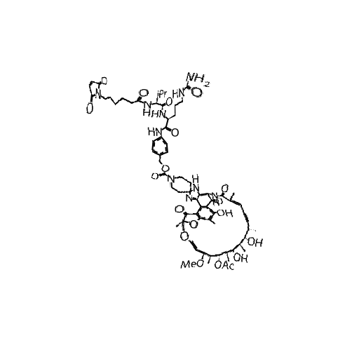 CO[C@H]1/C=C/O[C@@]2(C)Oc3c(C)c(O)c4c(c3C2=O)C2=NC3(CCN(C(=O)OCc5ccc(NC(=O)[C@H](CCCNC(N)=O)NC(=O)[C@@H](NC(=O)CCCCCN6C(=O)C=CC6=O)C(C)C)cc5)CC3)NC2=C(NC(=O)/C(C)=C\C=C\[C@H](C)[C@H](O)[C@@H](C)[C@@H](O)[C@@H](C)[C@H](OC(C)=O)[C@H]1C)C4=O